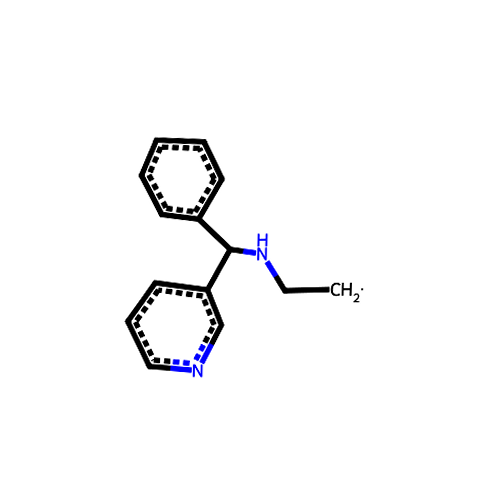 [CH2]CNC(c1ccccc1)c1cccnc1